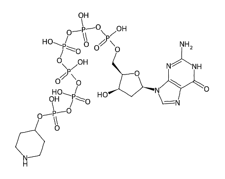 Nc1nc2c(ncn2[C@H]2C[C@@H](O)[C@@H](COP(=O)(O)OP(=O)(O)OP(=O)(O)OP(=O)(O)OP(=O)(O)OP(=O)(O)OC3CCNCC3)O2)c(=O)[nH]1